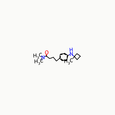 CN(C)C(=O)CCCc1ccc(NC2(C)CCC2)cc1